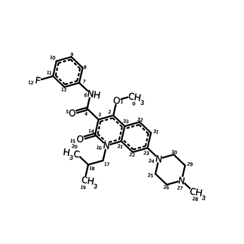 COc1c(C(=O)Nc2cccc(F)c2)c(=O)n(CC(C)C)c2cc(N3CCN(C)CC3)ccc12